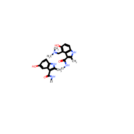 CCNC(=O)c1c(C)[nH]c2ccc(O)c(CN(C)C)c12.CCNC(=O)c1c(C)[nH]c2ccc(O)cc12